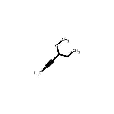 CC#CC(CC)OC